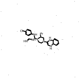 CC(C)C1CN(C2=CNC3C=CC=CC3N2)CCN1C(NC=N)Nc1ccc(Cl)cc1